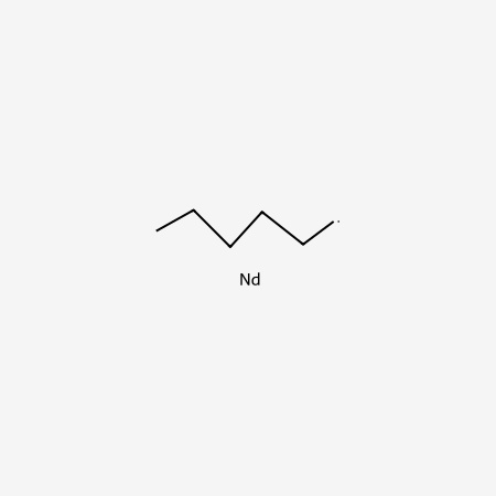 [CH2]CCCCC.[Nd]